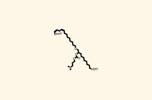 CCCCC/C=C\C/C=C\CCCCCCCCOCC(CCCCCCCCCCCCCCCCCC)OC(=O)OCCCN(C)C